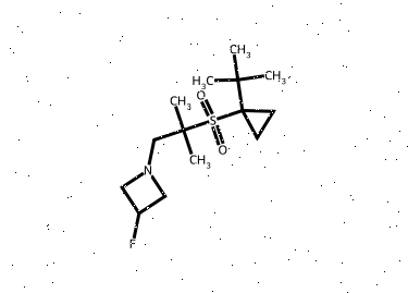 CC(C)(C)C1(S(=O)(=O)C(C)(C)CN2CC(F)C2)CC1